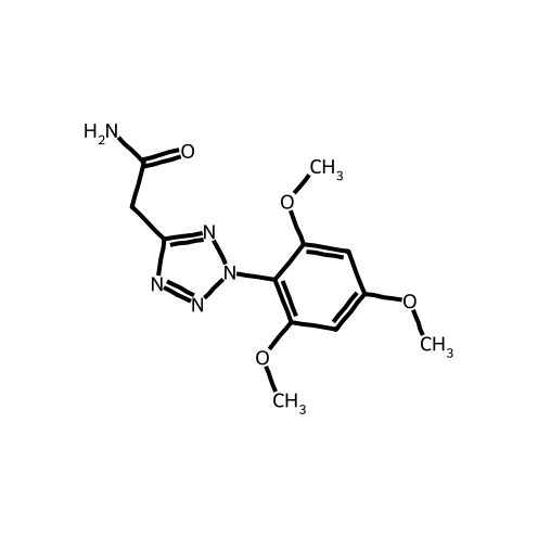 COc1cc(OC)c(-n2nnc(CC(N)=O)n2)c(OC)c1